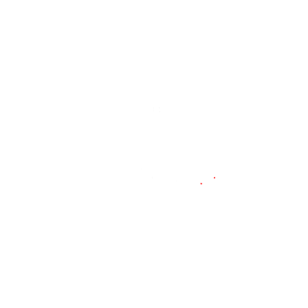 c1ccc2c(-c3cccc4oc5c(-c6cccc7ccccc67)cccc5c34)c3ccccc3c(-c3ccccc3C3=CC=CCC3)c2c#1